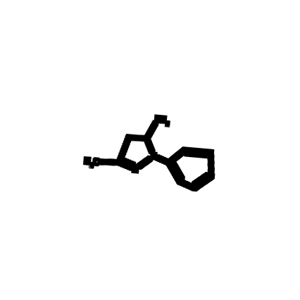 CC1=NN(c2ccccc2)C(N)C1